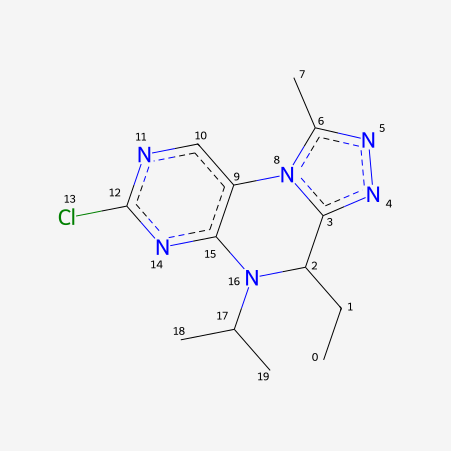 CCC1c2nnc(C)n2-c2cnc(Cl)nc2N1C(C)C